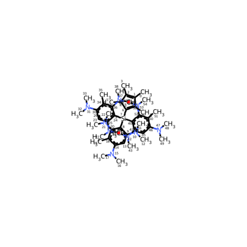 CC1=C(C)C(C)C([Si](c2c(N(C)C)cc(N(C)C)c(C)c2N(C)C)(c2c(N(C)C)cc(N(C)C)c(C)c2N(C)C)c2c(N(C)C)cc(N(C)C)c(C)c2N(C)C)=C1C